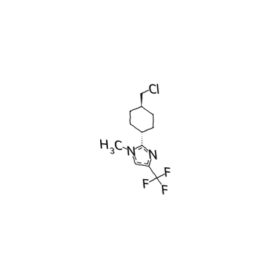 Cn1cc(C(F)(F)F)nc1[C@H]1CC[C@H](CCl)CC1